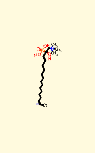 CC/C=C\CCCCCCCCCCCCC(O)(C[N+](C)(C)C)P(=O)(O)O